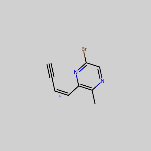 C#C/C=C\c1nc(Br)cnc1C